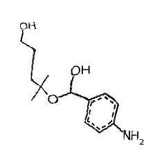 CC(C)(CCCO)OC(O)c1ccc(N)cc1